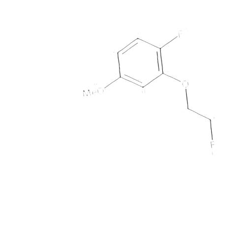 COc1c[c]c(F)c(OCCF)c1